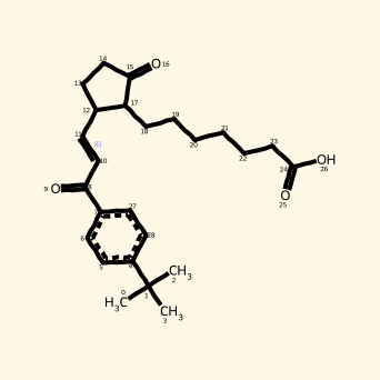 CC(C)(C)c1ccc(C(=O)/C=C/C2CCC(=O)C2CCCCCCC(=O)O)cc1